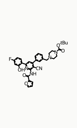 CC(C)(C)OC(=O)N1CCN(Cc2cccc(-c3cc(-c4ccc(F)cc4O)nc(NC(=O)c4ccco4)c3C#N)c2)CC1